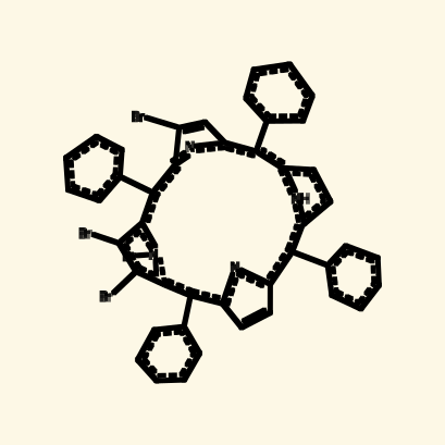 BrC1=Cc2nc1c(-c1ccccc1)c1c(Br)c(Br)c(c(-c3ccccc3)c3nc(c(-c4ccccc4)c4ccc([nH]4)c2-c2ccccc2)C=C3)n1Br